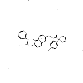 O=C(O)C(Cc1ccccc1)Oc1ccc2cc(CNC(=O)C3(c4ccc(Cl)cc4)CCCC3)ccc2c1Br